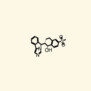 CS(=O)(=O)c1ccc2c(c1)CC[C@@H]([C@@H]1c3ccccc3-c3cncn31)[C@H]2O